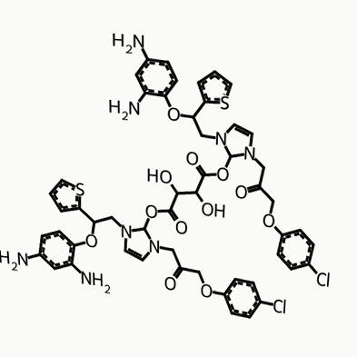 Nc1ccc(OC(CN2C=CN(CC(=O)COc3ccc(Cl)cc3)C2OC(=O)C(O)C(O)C(=O)OC2N(CC(=O)COc3ccc(Cl)cc3)C=CN2CC(Oc2ccc(N)cc2N)c2cccs2)c2cccs2)c(N)c1